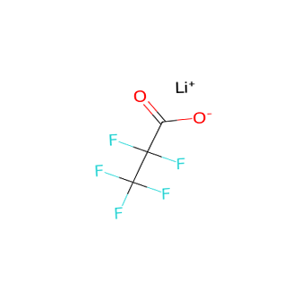 O=C([O-])C(F)(F)C(F)(F)F.[Li+]